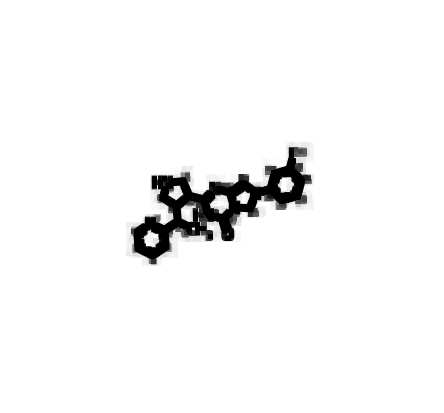 CC(c1ccccn1)C1CNCC1C1=NC2=CN(c3cccc(F)c3)CN2C(=O)N1